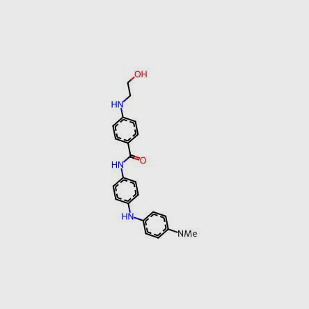 CNc1ccc(Nc2ccc(NC(=O)c3ccc(NCCO)cc3)cc2)cc1